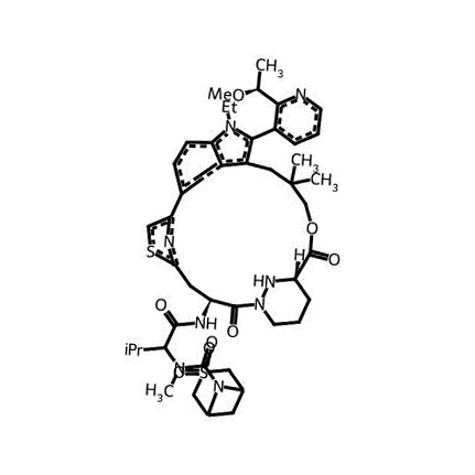 CCn1c(-c2cccnc2[C@H](C)OC)c2c3cc(ccc31)-c1csc(n1)C[C@H](NC(=O)C(C(C)C)N(C)C(=O)N1C3CC1CS(=O)(=O)C3)C(=O)N1CCC[C@H](N1)C(=O)OCC(C)(C)C2